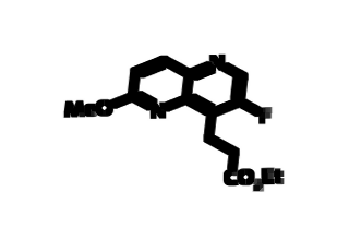 CCOC(=O)CCc1c(F)cnc2ccc(OC)nc12